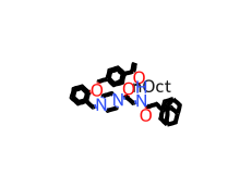 C=C(OCCCCCCCC)c1ccc(COc2ccccc2CN2CCN(C(=O)CNC(=O)CC34CC5CC(CC(C5)C3)C4)CC2)cc1